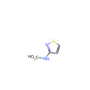 O=C(O)Nc1ccsn1